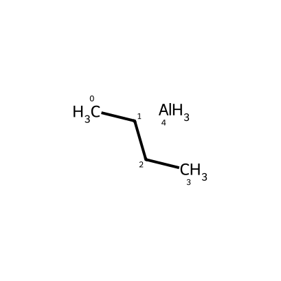 CCCC.[AlH3]